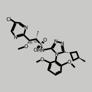 COc1cccc(OC)c1-n1c(NS(=O)(=O)[C@@H](C)[C@H](OC)c2ncc(Cl)cn2)nnc1[C@H]1C[C@H](C)C1